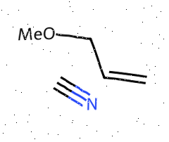 C#N.C=CCOC